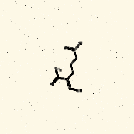 NC(=O)/C(CCC[N+](=O)[O-])=N/O